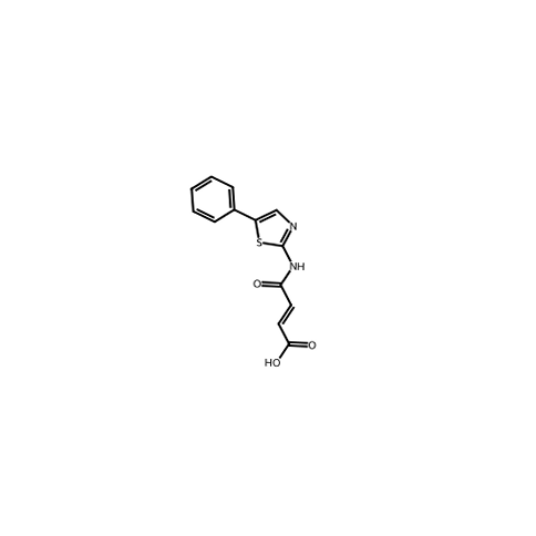 O=C(O)/C=C/C(=O)Nc1ncc(-c2ccccc2)s1